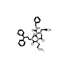 C#CCN1CC(=O)N2[C@@H](CCC)C(=O)N(CCC(c3ccccc3)c3ccccc3)C[C@@H]2N1C(=O)NCc1ccccc1